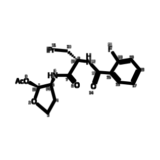 CC(=O)O[C@@H]1OCC[C@@H]1NC(=O)[C@H](CC(C)C)NC(=O)c1ccccc1F